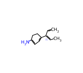 C=C/C(=C\C)C1=CC=C(N)CC1